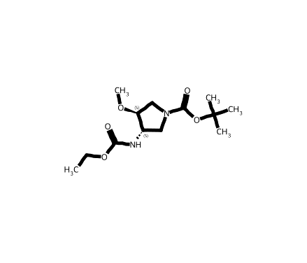 CCOC(=O)N[C@H]1CN(C(=O)OC(C)(C)C)C[C@@H]1OC